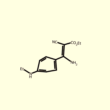 CCNc1ccc(/C(N)=C(\C#N)C(=O)OCC)cc1